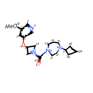 COc1cncc(OC2CN(C(=O)N3CCCN(C4CCC4)CC3)C2)c1